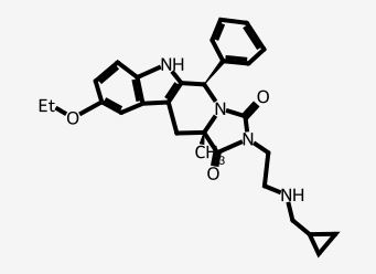 CCOc1ccc2[nH]c3c(c2c1)C[C@@]1(C)C(=O)N(CCNCC2CC2)C(=O)N1[C@@H]3c1ccccc1